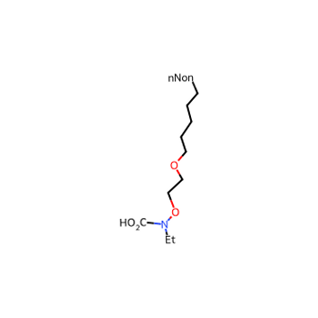 CCCCCCCCCCCCCCOCCON(CC)C(=O)O